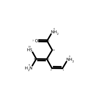 N/C=C\C(CC(N)=O)=C(/N)S